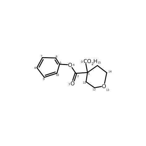 O=C(O)C1(C(=O)Oc2ccccc2)CCOCC1